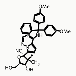 COc1ccc(C(Nc2ncnn3c([C@]4(C#N)O[C@H](CO)[C@@H](O)[C@@]4(C)F)ccc23)(c2ccccc2)c2ccc(OC)cc2)cc1